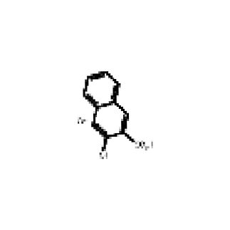 O=C(O)c1cc2ccccc2cc1O.[Co]